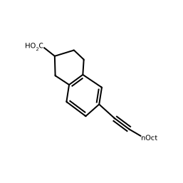 CCCCCCCCC#Cc1ccc2c(c1)CCC(C(=O)O)C2